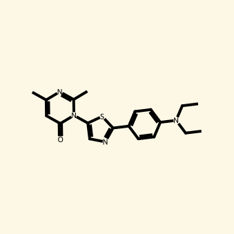 CCN(CC)c1ccc(-c2ncc(-n3c(C)nc(C)cc3=O)s2)cc1